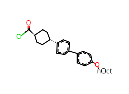 CCCCCCCCOc1ccc(-c2ccc([C@H]3CC[C@H](C(=O)Cl)CC3)cc2)cc1